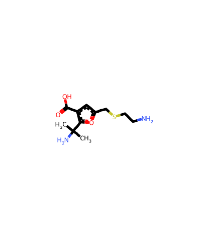 CC(C)(N)c1oc(CSCCN)cc1C(=O)O